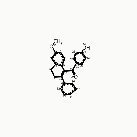 COc1ccc2c(c1)CCC(c1ccccc1)=C2C(=O)c1ccc(O)cc1